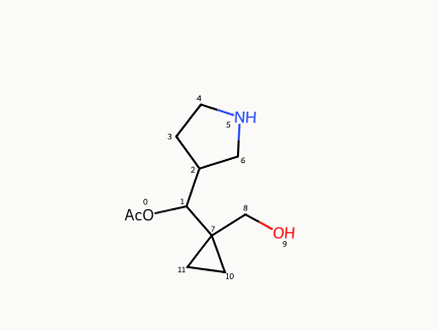 CC(=O)OC(C1CCNC1)C1(CO)CC1